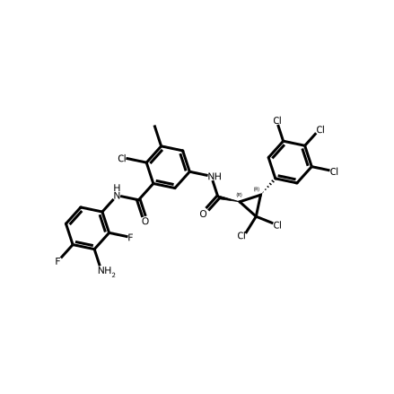 Cc1cc(NC(=O)[C@H]2[C@H](c3cc(Cl)c(Cl)c(Cl)c3)C2(Cl)Cl)cc(C(=O)Nc2ccc(F)c(N)c2F)c1Cl